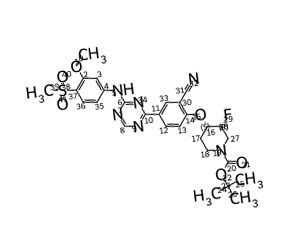 COc1cc(Nc2ncnc(-c3ccc(O[C@H]4CCN(C(=O)OC(C)(C)C)C[C@H]4F)c(C#N)c3)n2)ccc1S(C)(=O)=O